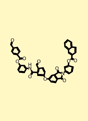 O=Cc1ccc(C(=O)Oc2cccc(NC(=O)c3cc(Oc4ccc5c(c4)C(=O)N(c4cccc(OC(=O)c6ccc7ccccc7c6)c4)C5=O)ccc3C=O)c2)cc1